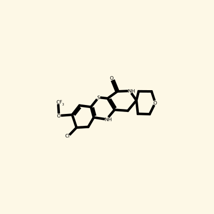 O=C1NC2(CCOCC2)CC2=C1SC1=C(CC(Cl)C(OC(F)(F)F)=C1)N2